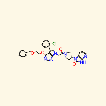 O=C(Cn1cc(-c2ccccc2Cl)c2c(OCCOCc3ccccc3)ncnc21)N1CCC(n2c(=O)[nH]c3ncccc32)CC1